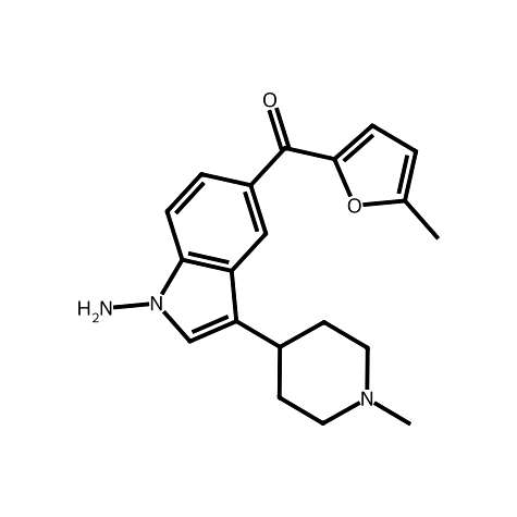 Cc1ccc(C(=O)c2ccc3c(c2)c(C2CCN(C)CC2)cn3N)o1